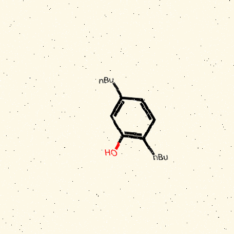 CCCCc1[c]cc(CCCC)c(O)c1